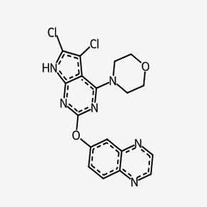 Clc1[nH]c2nc(Oc3ccc4nccnc4c3)nc(N3CCOCC3)c2c1Cl